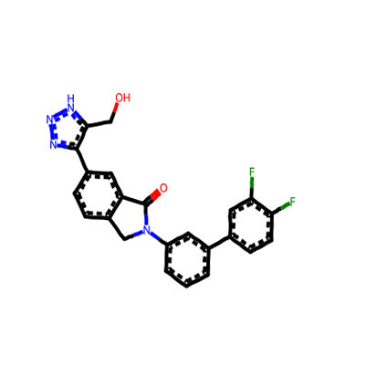 O=C1c2cc(-c3nn[nH]c3CO)ccc2CN1c1cccc(-c2ccc(F)c(F)c2)c1